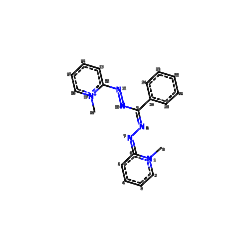 Cn1ccccc1=NN=C(N=Nc1cccc[n+]1C)c1ccccc1